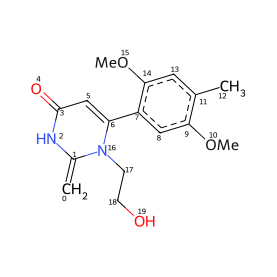 C=C1NC(=O)C=C(c2cc(OC)c(C)cc2OC)N1CCO